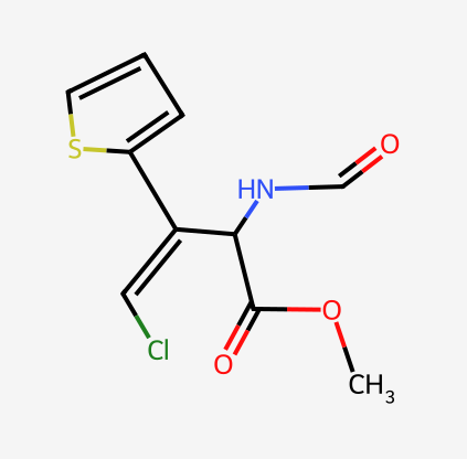 COC(=O)C(NC=O)/C(=C\Cl)c1cccs1